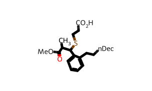 CCCCCCCCCCCCc1ccccc1C(SCCC(=O)O)C(C)C(=O)OC